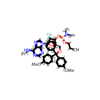 COc1ccc(C(OC[C@H]2O[C@@H](n3cnc4c(NC(C)C)ncnc43)C(F)C2OP(OCCC#N)N(C(C)C)C(C)C)(c2ccccc2)c2ccc(OC)cc2)cc1